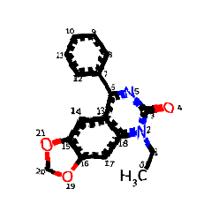 CCn1c(=O)nc(-c2ccccc2)c2cc3c(cc21)OCO3